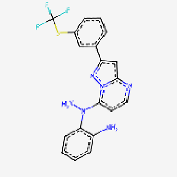 Nc1ccccc1N(N)c1ccnc2cc(-c3cccc(SC(F)(F)F)c3)nn12